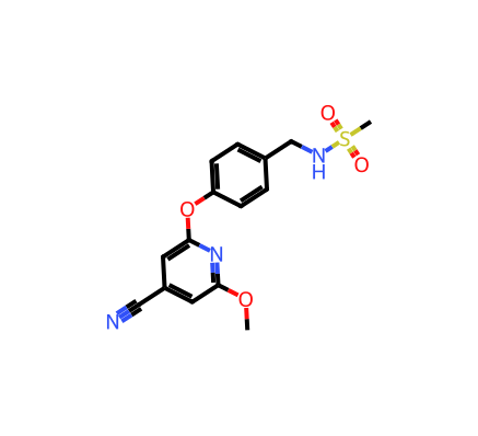 COc1cc(C#N)cc(Oc2ccc(CNS(C)(=O)=O)cc2)n1